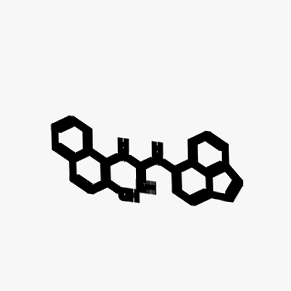 N=C(Nc1c(O)ccc2ccccc12)Nc1ccc2c3c(cccc13)C=C2